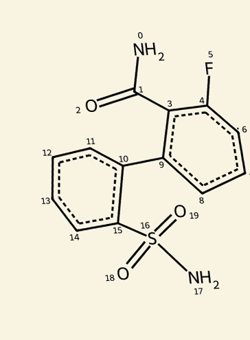 NC(=O)c1c(F)[c]ccc1-c1ccccc1S(N)(=O)=O